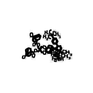 CC(C)(C)c1ccc(-c2ccc(C(C)(C)C)cc2C2C3CC4CC2(OC(=O)C(F)(F)S(=O)(=O)O)CC(C3)C42OCC(COC(=O)C34CC5CC(C3)C(=O)C(C5)C4)(COC(=O)C34CC5CC(C3)C(=O)C(C5)C4)CO2)cc1